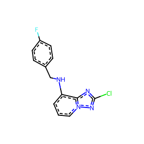 Fc1ccc(CNc2cccn3nc(Cl)nc23)cc1